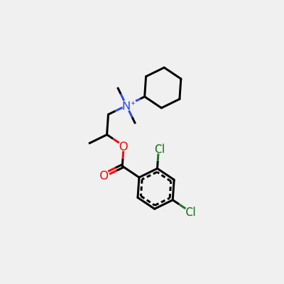 CC(C[N+](C)(C)C1CCCCC1)OC(=O)c1ccc(Cl)cc1Cl